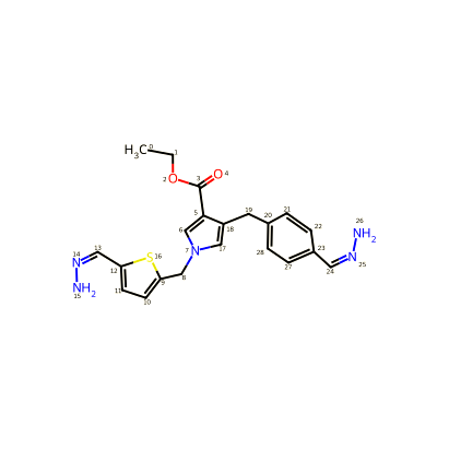 CCOC(=O)c1cn(Cc2ccc(/C=N\N)s2)cc1Cc1ccc(/C=N\N)cc1